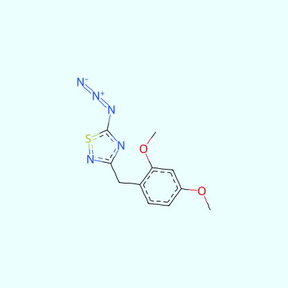 COc1ccc(Cc2nsc(N=[N+]=[N-])n2)c(OC)c1